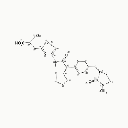 CN1CCN(Cc2ccc(C(C(=O)Nc3cccc(CC(C(=O)O)C(C)(C)C)c3)C3CCCC3)cc2)C1=O